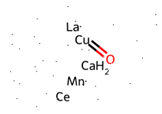 [CaH2].[Ce].[La].[Mn].[O]=[Cu]